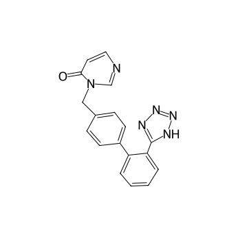 O=c1ccncn1Cc1ccc(-c2ccccc2-c2nnn[nH]2)cc1